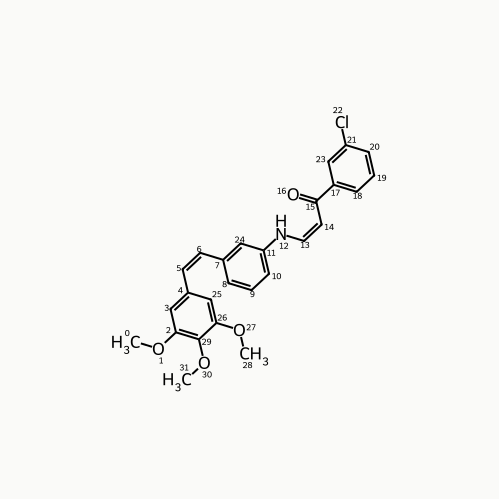 COc1cc(/C=C\c2cccc(N/C=C\C(=O)c3cccc(Cl)c3)c2)cc(OC)c1OC